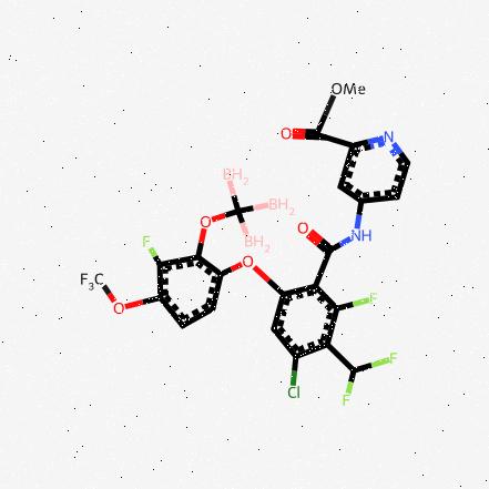 BC(B)(B)Oc1c(Oc2cc(Cl)c(C(F)F)c(F)c2C(=O)Nc2ccnc(C(=O)OC)c2)ccc(OC(F)(F)F)c1F